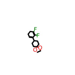 FC1=C(F)C(C2CCC3(CC2)OCCO3)=CCC1